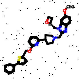 O=COc1ccc2nc(CN3CCC(c4cccc(OCc5ccc(-c6ccccc6)s5)n4)CC3)n(C[C@@H]3CCO3)c2c1